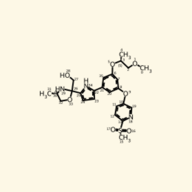 COC[C@H](C)Oc1cc(Oc2ccc(S(C)(=O)=O)nc2)cc(-c2ccc(C3(CO)N[C@H](C)CO3)[nH]2)c1